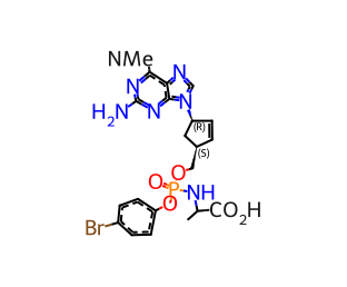 CNc1nc(N)nc2c1ncn2[C@H]1C=C[C@@H](COP(=O)(NC(C)C(=O)O)Oc2ccc(Br)cc2)C1